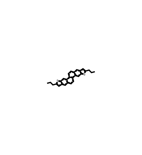 CCCc1cc2cc3ccc4c5cc6sc(CCC)cc6cc5ccc4c3cc2s1